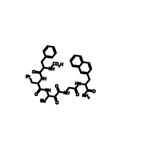 CCC(C)C(NC(=O)C(CC(C)C)NC(=O)C(Cc1ccccc1)NC(=O)O)C(=O)C(=O)NCC(=O)NC(Cc1ccc2ccccc2c1)C(N)=O